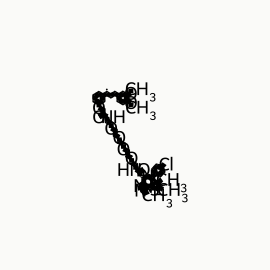 COc1ccc(CC[CH]c2cccc(OCC(=O)NCCOCCOCCOCCOCCNC(=O)C[C@@H]3N=C(c4ccc(Cl)cc4)c4c(sc(C)c4C)-n4c(C)nnc43)c2)cc1OC